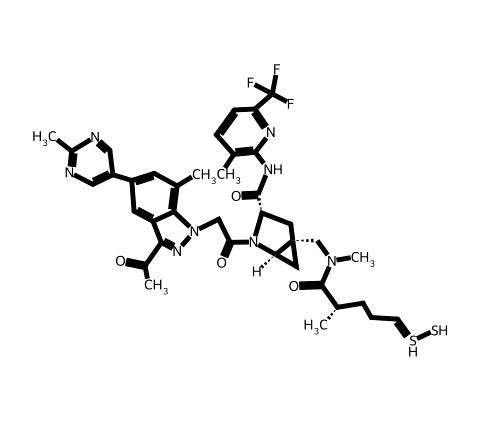 CC(=O)c1nn(CC(=O)N2[C@H](C(=O)Nc3nc(C(F)(F)F)ccc3C)C[C@@]3(CN(C)C(=O)[C@@H](C)CC/C=[SH]/S)C[C@@H]23)c2c(C)cc(-c3cnc(C)nc3)cc12